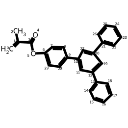 C=C(C)C(=O)Oc1ccc(-c2cc(-c3ccccc3)cc(-c3ccccc3)c2)cc1